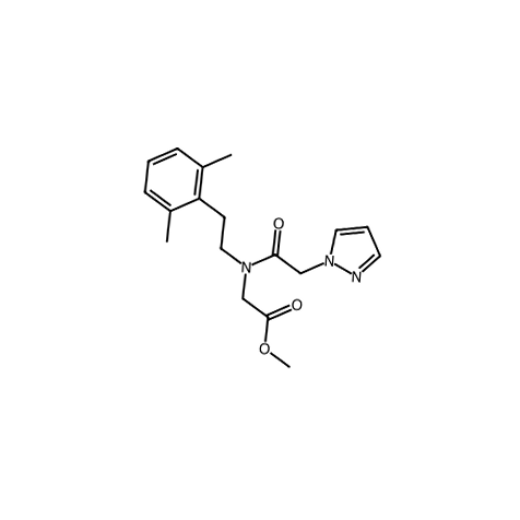 COC(=O)CN(CCc1c(C)cccc1C)C(=O)Cn1cccn1